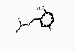 Cc1ccc(F)cc1COB(F)F